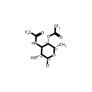 C[C@@H]1O[C@@H](Cl)[C@H](O)C(NC(=O)C(F)(F)F)[C@@H]1OC(=O)C(F)(F)F